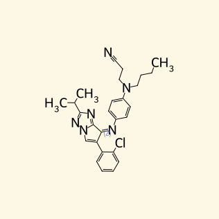 CCCCN(CCC#N)c1ccc(/N=C2/C(c3ccccc3Cl)=Cn3nc(C(C)C)nc32)cc1